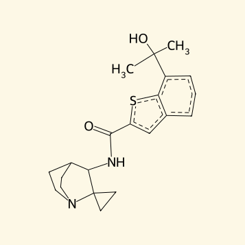 CC(C)(O)c1cccc2cc(C(=O)NC3C4CCN(CC4)C34CC4)sc12